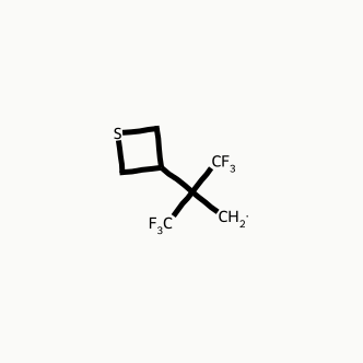 [CH2]C(C1CSC1)(C(F)(F)F)C(F)(F)F